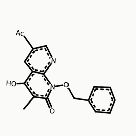 CC(=O)c1cnc2c(c1)c(O)c(C)c(=O)n2OCc1ccccc1